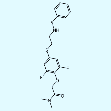 CN(C)C(=O)COc1c(F)cc(SCCNSc2ccccc2)cc1F